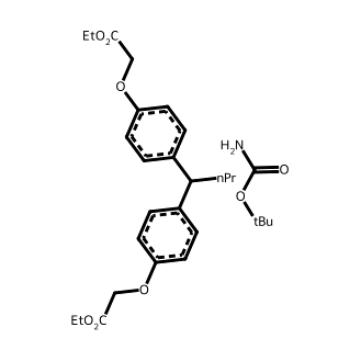 CC(C)(C)OC(N)=O.CCCC(c1ccc(OCC(=O)OCC)cc1)c1ccc(OCC(=O)OCC)cc1